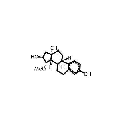 CO[C@H]1[C@H]2[C@@H]3CCc4cc(O)ccc4[C@H]3CC[C@]2(C)C[C@@H]1O